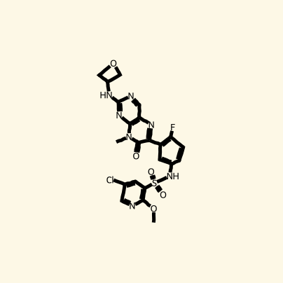 COc1ncc(Cl)cc1S(=O)(=O)Nc1ccc(F)c(-c2nc3cnc(NC4COC4)nc3n(C)c2=O)c1